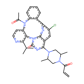 C=CC(=O)N1CC(C)N(c2nc(=O)n3c4nc(c(Cl)cc24)c2ccccc2n(C(C)=O)c2ccnc(C(C)C)c23)CC1C